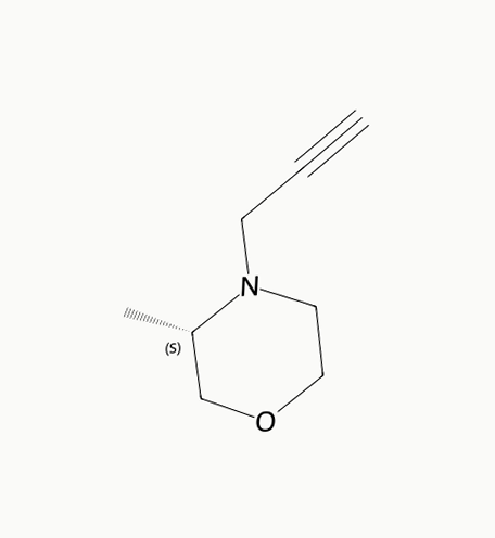 C#CCN1CCOC[C@@H]1C